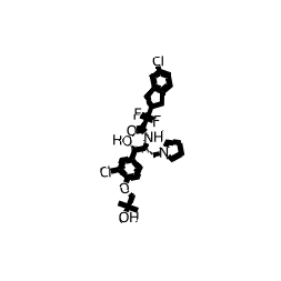 CC(C)(O)COc1ccc([C@@H](O)[C@@H](CN2CCCC2)NC(=O)C(F)(F)C2Cc3ccc(Cl)cc3C2)cc1Cl